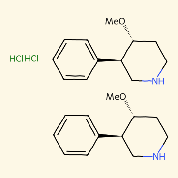 CO[C@@H]1CCNC[C@H]1c1ccccc1.CO[C@@H]1CCNC[C@H]1c1ccccc1.Cl.Cl